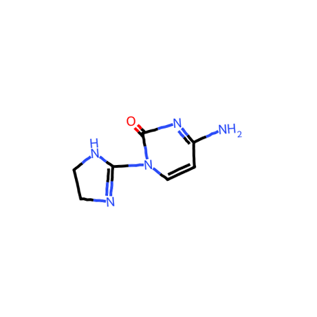 Nc1ccn(C2=NCCN2)c(=O)n1